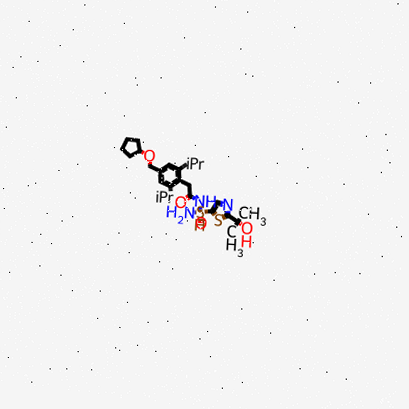 CC(C)c1cc(COC2CCCC2)cc(C(C)C)c1CC(=O)N[SH](N)(=O)c1cnc(C(C)(C)O)s1